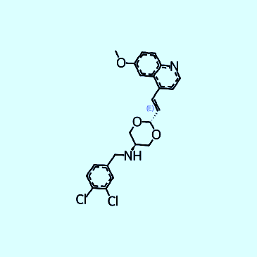 COc1ccc2nccc(/C=C/[C@H]3OC[C@H](NCc4ccc(Cl)c(Cl)c4)CO3)c2c1